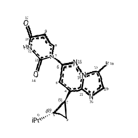 CC(C)[C@H]1C[C@@H]1c1cc(-n2ccc(=O)[nH]c2=O)nn2c(F)cnc12